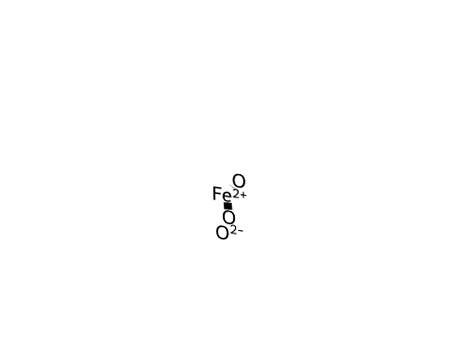 [O-2].[O]=[Fe+2]=[O]